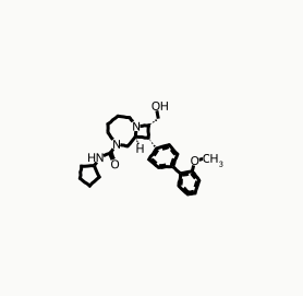 COc1ccccc1-c1ccc([C@H]2[C@@H](CO)N3CCCCN(C(=O)NC4CCCC4)C[C@H]23)cc1